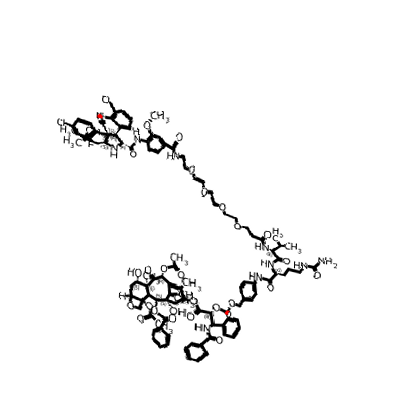 COc1cc(C(=O)NCCOCCOCCOCCOCCC(=O)N[C@@H](C(=O)N[C@@H](CCCNC(N)=O)C(=O)Nc2ccc(COC(=O)O[C@@H](C(=O)O[C@H]3C[C@@]4(O)[C@@H](OC(=O)c5ccccc5)C5[C@](C)(C(=O)[C@H](OC(C)=O)C(=C3C)C4(C)C)[C@@H](O)C[C@H]3OC[C@@]53OC(C)=O)C(NC(=O)c3ccccc3)c3ccccc3)cc2)C(C)C)ccc1NC(=O)[C@@H]1N[C@@H](CC(C)(C)C)[C@](C#N)(c2ccc(Cl)cc2F)[C@H]1c1cccc(Cl)c1F